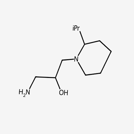 CC(C)C1CCCCN1CC(O)CN